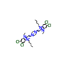 CCCCC[n+]1c(/C=C/N2CCN(/C=C/c3n(CC)c4cc(Cl)c(Cl)cc4[n+]3CCCCC)CC2)n(CC)c2cc(Cl)c(Cl)cc21